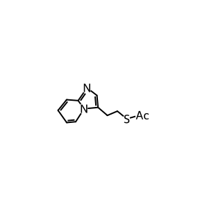 CC(=O)SCCc1cnc2ccccn12